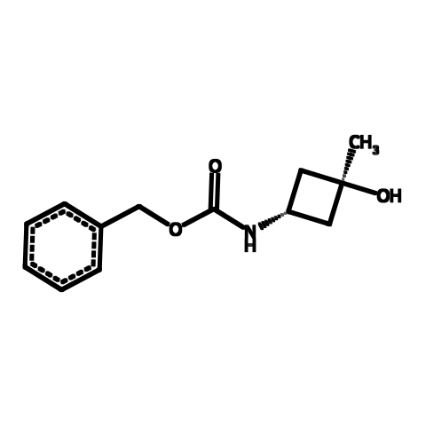 C[C@]1(O)C[C@H](NC(=O)OCc2ccccc2)C1